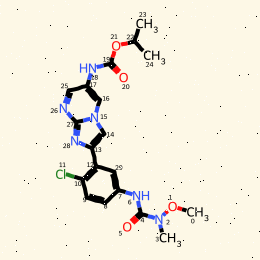 CON(C)C(=O)Nc1ccc(Cl)c(-c2cn3cc(NC(=O)OC(C)C)cnc3n2)c1